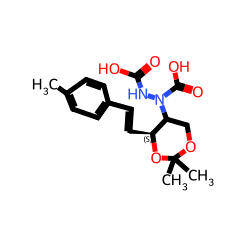 Cc1ccc(C=C[C@@H]2OC(C)(C)OCC2N(NC(=O)O)C(=O)O)cc1